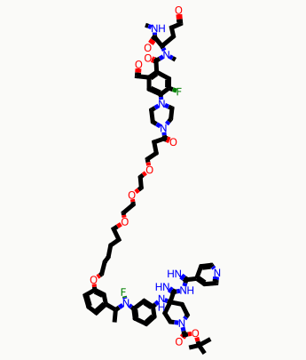 CNC(=O)C(CCC=O)N(C)C(=O)c1cc(F)c(N2CCN(C(=O)CCCOCCOCCOCCCCCCOc3cccc(C(C)N(F)c4cccc(NC5(C(=N)NC(=N)c6ccncc6)CCN(C(=O)OC(C)(C)C)CC5)c4)c3)CC2)cc1C=O